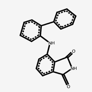 O=C1NC(=O)c2c(Nc3ccccc3-c3ccccc3)cccc21